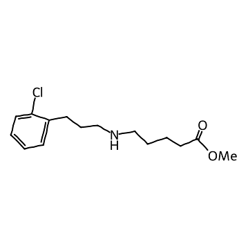 COC(=O)CCCCNCCCc1ccccc1Cl